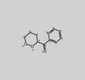 O=C(c1ccccn1)C1CCCOO1